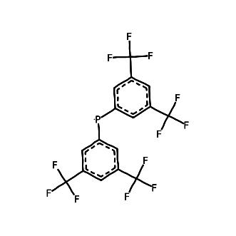 FC(F)(F)c1cc([P]c2cc(C(F)(F)F)cc(C(F)(F)F)c2)cc(C(F)(F)F)c1